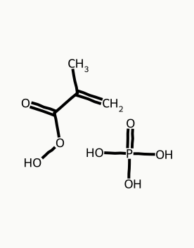 C=C(C)C(=O)OO.O=P(O)(O)O